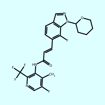 Cc1c(F)cnc(C(F)(F)F)c1NC(=O)/C=C/c1ccc2cnn(C3CCCCO3)c2c1F